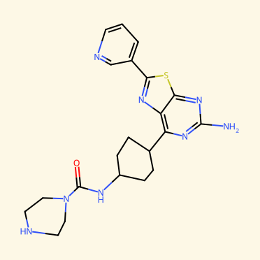 Nc1nc(C2CCC(NC(=O)N3CCNCC3)CC2)c2nc(-c3cccnc3)sc2n1